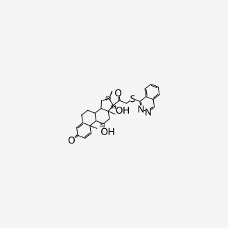 C[C@@H]1CC2C3CCC4=CC(=O)C=CC4(C)C3[C@@H](O)CC2(C)[C@@]1(O)C(=O)CSc1nncc2ccccc12